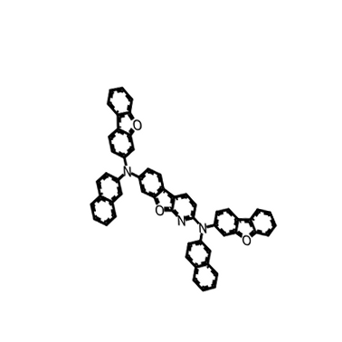 c1ccc2cc(N(c3ccc4c(c3)oc3ccccc34)c3ccc4c(c3)oc3nc(N(c5ccc6ccccc6c5)c5ccc6c(c5)oc5ccccc56)ccc34)ccc2c1